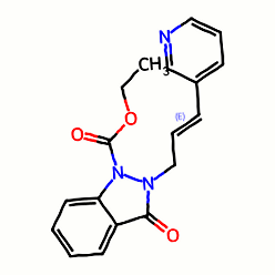 CCOC(=O)n1c2ccccc2c(=O)n1C/C=C/c1cccnc1